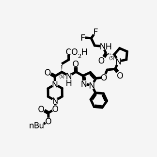 CCCCOC(=O)ON1CCN(C(=O)[C@H](CCC(=O)O)NC(=O)c2cc(OCC(=O)N3CCC[C@H]3C(=O)NCC(F)F)n(-c3ccccc3)n2)CC1